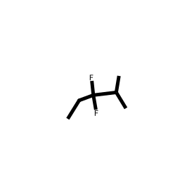 CCC(F)(F)C(C)C